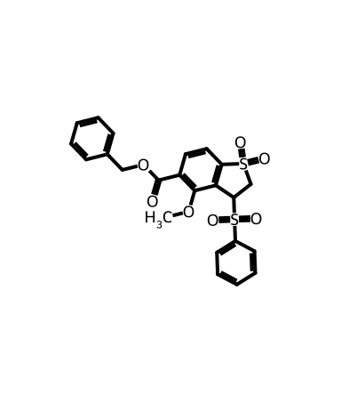 COc1c(C(=O)OCc2ccccc2)ccc2c1C(S(=O)(=O)c1ccccc1)CS2(=O)=O